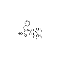 CCC(C)(C)OC(O)N1c2ccccc2CC1C(=O)O